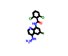 NNc1ccnc2c(NC(=O)c3c(Cl)cccc3Cl)cc(F)cc12